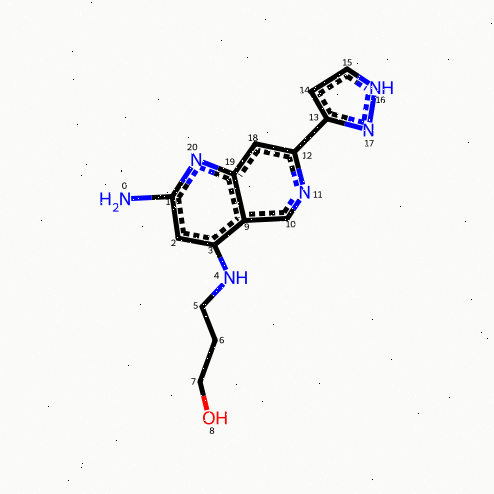 Nc1cc(NCCCO)c2cnc(-c3cc[nH]n3)cc2n1